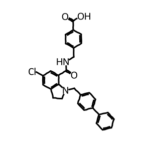 O=C(O)c1ccc(CNC(=O)c2cc(Cl)cc3c2N(Cc2ccc(-c4ccccc4)cc2)CC3)cc1